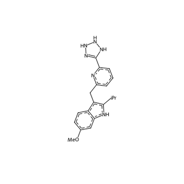 COc1ccc2c(Cc3cccc(C4=NNNN4)n3)c(C(C)C)[nH]c2c1